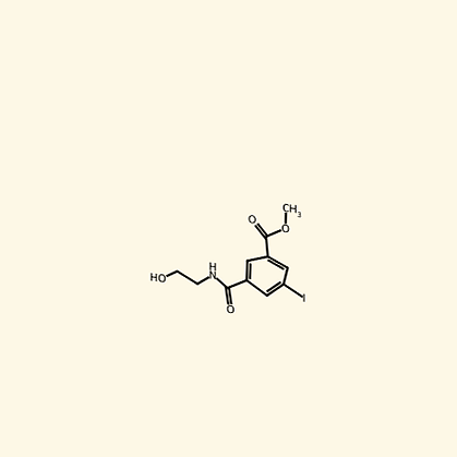 COC(=O)c1cc(I)cc(C(=O)NCCO)c1